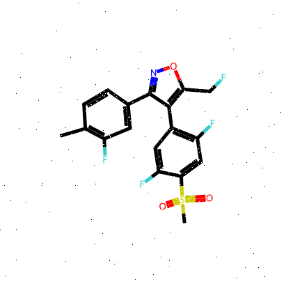 Cc1ccc(-c2noc(CF)c2-c2cc(F)c(S(C)(=O)=O)cc2F)cc1F